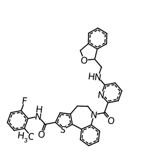 Cc1cccc(F)c1NC(=O)c1cc2c(s1)-c1ccccc1N(C(=O)c1cccc(NCC3OCc4ccccc43)n1)CC2